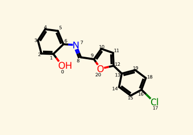 Oc1ccccc1/N=C/c1ccc(-c2ccc(Cl)cc2)o1